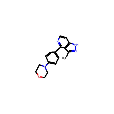 Cc1n[nH]c2ccnc(-c3ccc(N4CCOCC4)cc3)c12